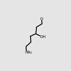 CCCCCCCC(O)CC[O]